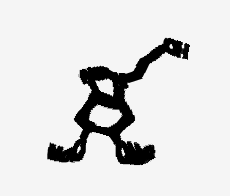 COc1cc2ncn(CCO)c2cc1OC